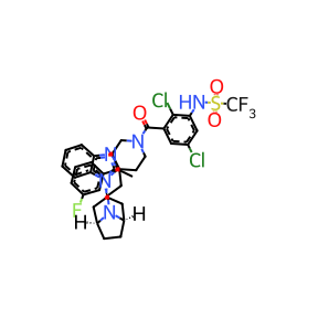 Cc1nc2ccccc2n1[C@H]1C[C@H]2CC[C@@H](C1)N2CCC1(c2cccc(F)c2)CCN(C(=O)c2cc(Cl)cc(NS(=O)(=O)C(F)(F)F)c2Cl)CC1